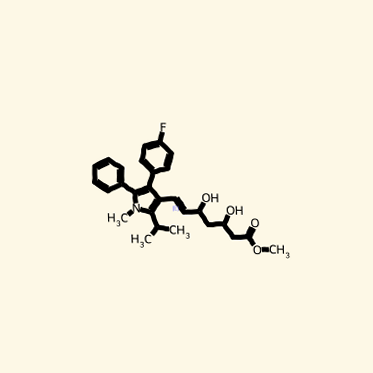 COC(=O)CC(O)CC(O)/C=C/c1c(-c2ccc(F)cc2)c(-c2ccccc2)n(C)c1C(C)C